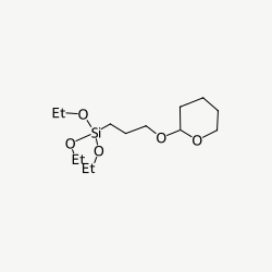 CCO[Si](CCCOC1CCCCO1)(OCC)OCC